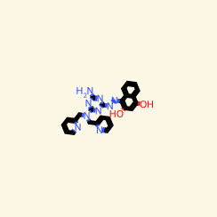 Nc1nc(/N=N/c2c(O)cc(O)c3ccccc23)nc(N(Cc2ccccn2)Cc2ccccn2)n1